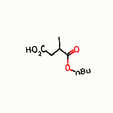 CCCCOC(=O)C(C)CC(=O)O